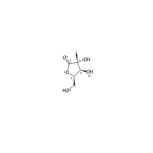 C[C@]1(O)C(=O)O[C@H](CO)[C@@H]1O